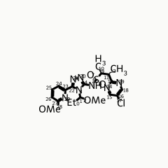 CCC(OC)n1c(NS(=O)(=O)[C@@H](C)[C@H](C)c2ncc(Cl)cn2)nnc1-c1cccc(OC)n1